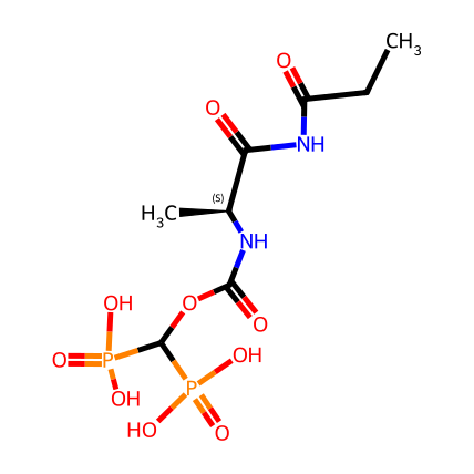 CCC(=O)NC(=O)[C@H](C)NC(=O)OC(P(=O)(O)O)P(=O)(O)O